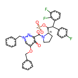 CS(=O)(=O)OC(C(c1ccc(F)cc1)c1cccc(F)c1F)[C@H]1CCCN1C(=O)c1nn(Cc2ccccc2)cc(OCc2ccccc2)c1=O